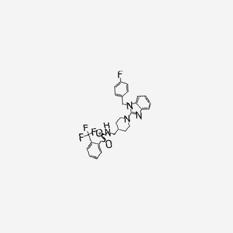 O=S(=O)(NCC1CCN(c2nc3ccccc3n2Cc2ccc(F)cc2)CC1)c1ccccc1C(F)(F)F